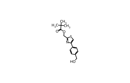 CC(C)(C)C(=O)OCc1nc(-c2ccc(CO)cc2)cs1